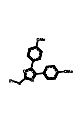 COc1ccc(-c2nc(SC(C)C)oc2-c2ccc(OC)cc2)cc1